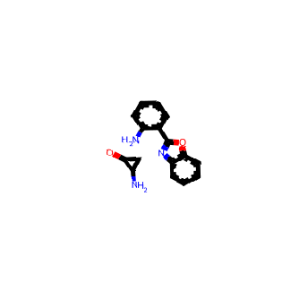 NC1CC1=O.Nc1ccccc1-c1nc2ccccc2o1